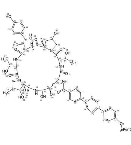 CCCCCOc1ccc(-c2ccc(-c3ccc(C(=O)N[C@@H]4C[C@@H](O)C(O)NC(=O)[C@@H]5C(O)C(C)CN5C(=O)[C@H](C(C)O)NC(=O)[C@H](C(O)C(O)c5ccc(O)cc5)NC(=O)[C@@H]5CC(O)CN5C(=O)[C@H](C(C)O)NC4=O)cc3)cc2)cc1